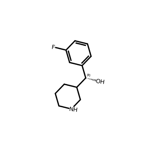 O[C@@H](c1cccc(F)c1)C1CCCNC1